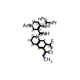 C/C=C(\CC)C1=CC2=C(CC1C(F)F)N(C(=N)C1=C(NC(CCC)CCC)CCN(C(C)=O)C1)CCC2